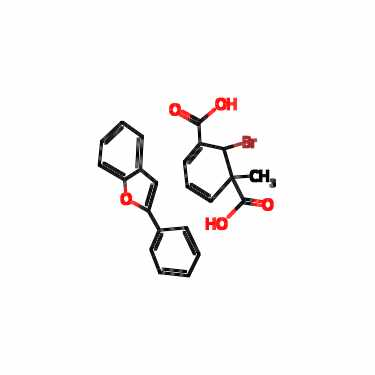 CC1(C(=O)O)C=CC=C(C(=O)O)C1Br.c1ccc(-c2cc3ccccc3o2)cc1